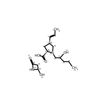 CC=C[C@@H]1C[C@H](C(=O)O)N(CC(O)CCC)C1.O=C1CC(O)N1